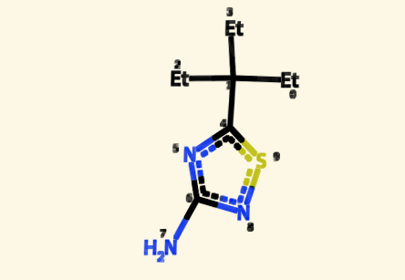 CCC(CC)(CC)c1nc(N)ns1